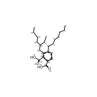 CCCCCCCc1ccc(C(=O)O)c(C(=O)O)c1CC(CC)CCCC